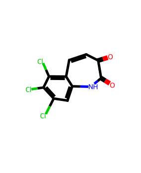 O=c1ccc2c(Cl)c(Cl)c(Cl)cc2[nH]c1=O